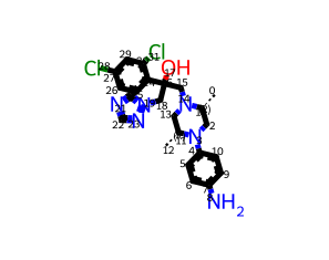 C[C@@H]1CN(c2ccc(N)cc2)[C@H](C)CN1CC(O)(Cn1cncn1)c1ccc(Cl)cc1Cl